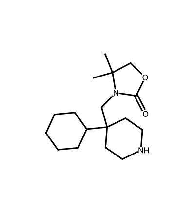 CC1(C)COC(=O)N1CC1(C2CCCCC2)CCNCC1